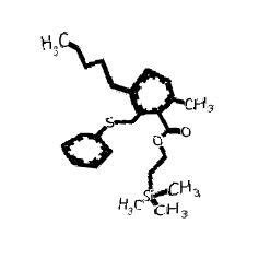 CCCCCc1ccc(C)c(C(=O)OCC[Si](C)(C)C)c1CSc1ccccc1